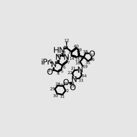 CC(C)n1c(=O)ccc2cnc(N[C@@H](C)c3ccc(C4(CCN5CCN(C(=O)OC6CCCCC6)CC5)CCOC4)cc3)nc21